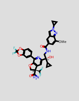 COc1cc(C(=O)NC[C@](O)(c2cc3c(c(-c4ccc5c(c4)OC(F)(F)O5)n2)OC[C@]3(C(N)=O)C(F)F)C2CC2)cc2cn(C3CC3)nc12